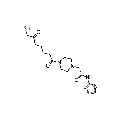 O=C(CS)CCCCC(=O)N1CCN(CC(=O)Nc2nccs2)CC1